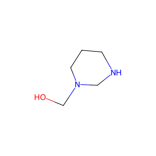 OCN1CCCNC1